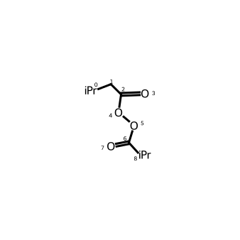 CC(C)CC(=O)OOC(=O)C(C)C